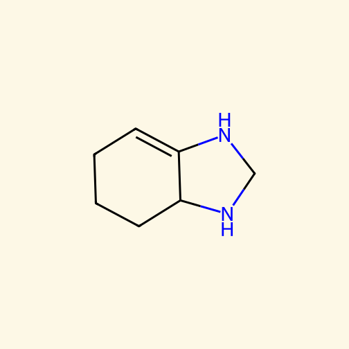 C1=C2NCNC2CCC1